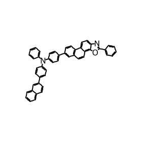 c1ccc(-c2nc3ccc4c5ccc(-c6ccc(N(c7ccccc7)c7ccc(-c8ccc9ccccc9c8)cc7)cc6)cc5ccc4c3o2)cc1